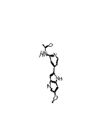 COc1cnc2cc(-c3ccnc(NC(C)=O)c3)[nH]c2c1